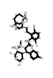 C[C@@H]1CC([C@H](c2ccc(F)cc2)[C@@H](C(=O)Nc2c(F)ccc(F)c2CC[C@H]2CN[C@@H]3CCCS(=O)(=O)N2C3)N(C)C(=O)O)C[C@H](C)O1